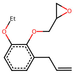 C=CCc1cccc(OCC)c1OCC1CO1